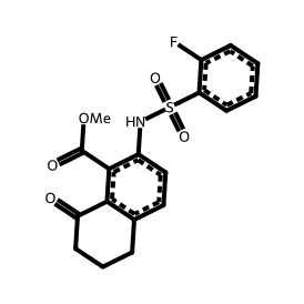 COC(=O)c1c(NS(=O)(=O)c2ccccc2F)ccc2c1C(=O)CCC2